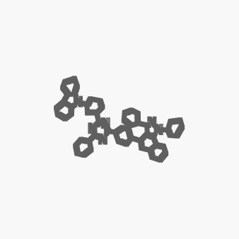 c1ccc(-c2nc(-c3ccc(-c4cc5ccccc5c5c4c(-c4ccccc4)nn5-c4ccccc4)cc3)nc(-c3cccc(-n4c5ccccc5c5ccccc54)c3)n2)cc1